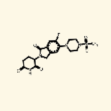 O=C1CCC(N2Cc3cc(N4CCN(S(=O)(=O)C(F)(F)F)CC4)c(F)cc3C2=O)C(=O)N1